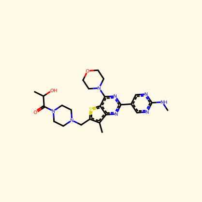 CNc1ncc(-c2nc(N3CCOCC3)c3sc(CN4CCN(C(=O)C(C)O)CC4)c(C)c3n2)cn1